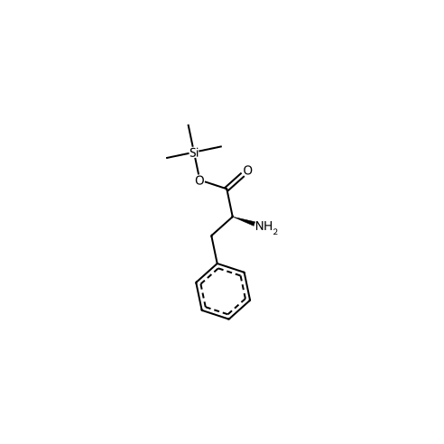 C[Si](C)(C)OC(=O)[C@@H](N)Cc1ccccc1